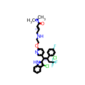 CN(C)C(=O)/C=C/CNCCOc1ccc(/C(=C(/CC(F)(F)F)c2ccc(F)cc2Cl)c2[nH]c3ccccc3c2Cl)cn1